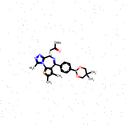 COC(=O)C[C@@H]1N=C(c2ccc(B3OCC(C)(C)CO3)cc2)c2c(sc(C)c2C)-n2c(C)nnc21